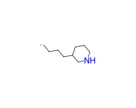 [CH2]CCCC1CCCNC1